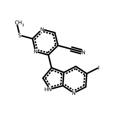 CSc1ncc(C#N)c(-c2c[nH]c3ncc(I)cc23)n1